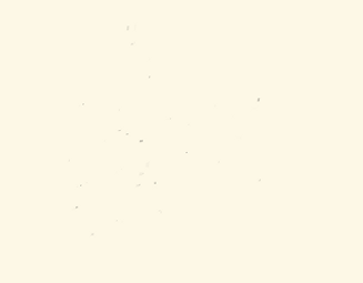 COc1ccc(-c2oc3cc(O)cc(O)c3c(=O)c2O)cc1O.Oc1ccc2c(c1)OCO2